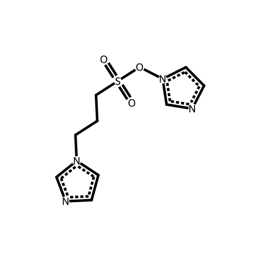 O=S(=O)(CCCn1ccnc1)On1ccnc1